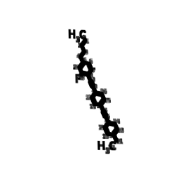 CCCCCc1ccc(C#Cc2ccc(C#Cc3ccc(CC)cc3)cc2)c(F)c1